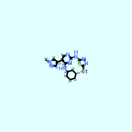 CCc1nnc(Nc2ncc(-c3cnn(C)c3)c(NC3CCCCC3)n2)s1